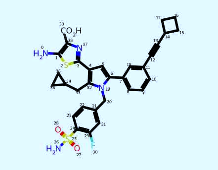 Nc1sc(-c2cc(-c3cccc(C#CC4CCC4)c3)n(Cc3ccc(S(N)(=O)=O)c(F)c3)c2CC2CC2)nc1C(=O)O